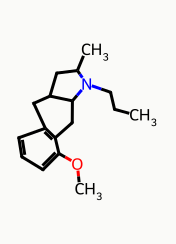 CCCN1C(C)CC2Cc3cccc(OC)c3CC21